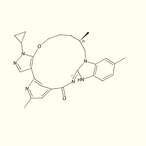 Cc1ccc2c(c1)N1C[C@H](C)CCCOc3c(cnn3C3CC3)-c3cc(cc(C)n3)C(=O)/N=C/1N2